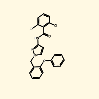 O=C(Nc1ccn(Cc2ccccc2Oc2ccccc2)n1)c1c(Cl)cccc1Cl